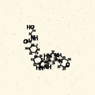 O=C(NCCO)[C@@H]1CC=C([C@H]2CCC3=C(C2)[C@H]([C@H]2C[C@@H](N4CCOCC4)NCN2)NN3)CC1